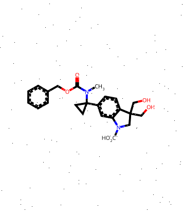 CN(C(=O)OCc1ccccc1)C1(c2ccc3c(c2)N(C(=O)O)CC3(CO)CO)CC1